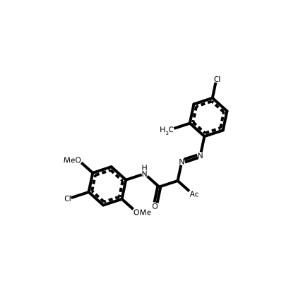 COc1cc(NC(=O)C(N=Nc2ccc(Cl)cc2C)C(C)=O)c(OC)cc1Cl